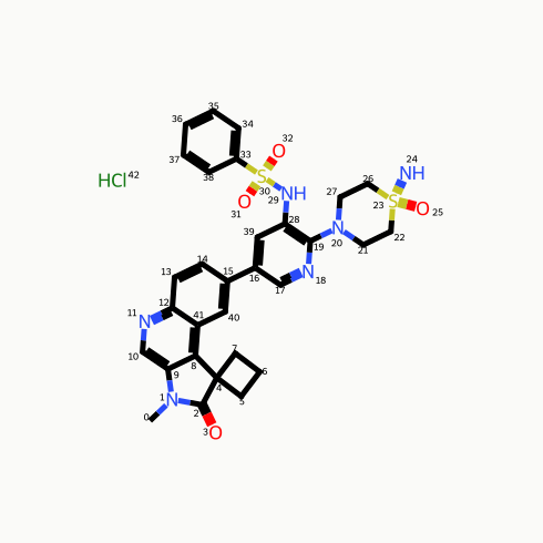 CN1C(=O)C2(CCC2)c2c1cnc1ccc(-c3cnc(N4CCS(=N)(=O)CC4)c(NS(=O)(=O)c4ccccc4)c3)cc21.Cl